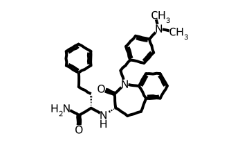 CN(C)c1ccc(CN2C(=O)[C@@H](N[C@@H](CCc3ccccc3)C(N)=O)CCc3ccccc32)cc1